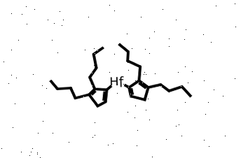 CCCCC1=C(CCCC)[C]([Hf][C]2=CCC(CCCC)=C2CCCC)=CC1